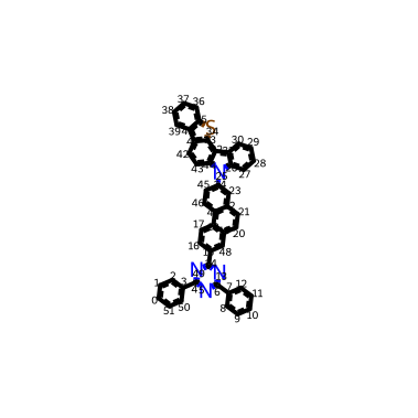 c1ccc(-c2nc(-c3ccccc3)nc(-c3ccc4c(ccc5cc(-n6c7ccccc7c7c8sc9ccccc9c8ccc76)ccc54)c3)n2)cc1